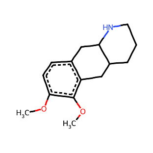 COc1ccc2c(c1OC)CC1CCCNC1C2